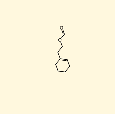 O=COCCC1=CCCCC1